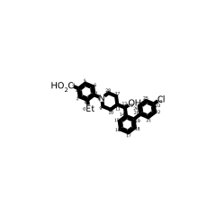 CCc1cc(C(=O)O)ccc1N1CCC(C(O)c2ccccc2-c2ccc(Cl)cc2)CC1